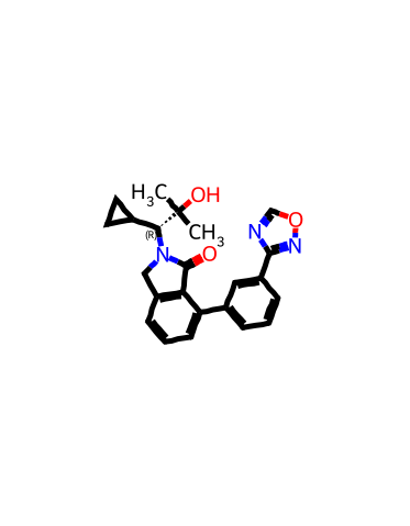 CC(C)(O)[C@@H](C1CC1)N1Cc2cccc(-c3cccc(-c4ncon4)c3)c2C1=O